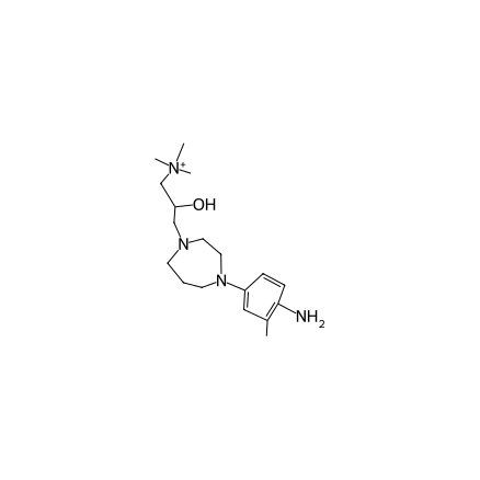 Cc1cc(N2CCCN(CC(O)C[N+](C)(C)C)CC2)ccc1N